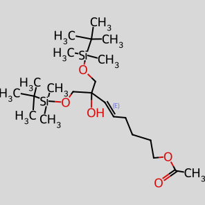 CC(=O)OCCCC/C=C/C(O)(CO[Si](C)(C)C(C)(C)C)CO[Si](C)(C)C(C)(C)C